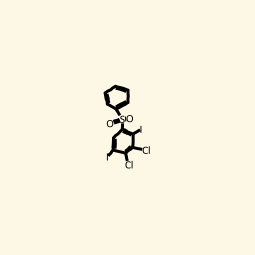 O=S(=O)(c1ccccc1)c1cc(I)c(Cl)c(Cl)c1I